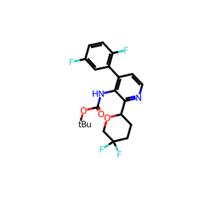 CC(C)(C)OC(=O)Nc1c(-c2cc(F)ccc2F)ccnc1C1CCC(F)(F)CO1